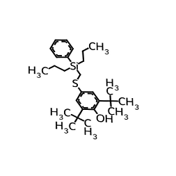 CCC[Si](CCC)(CSc1cc(C(C)(C)C)c(O)c(C(C)(C)C)c1)c1ccccc1